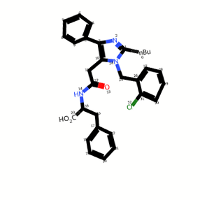 CCCCc1nc(-c2ccccc2)c(CC(=O)NC(Cc2ccccc2)C(=O)O)n1Cc1ccccc1Cl